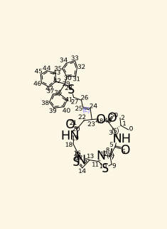 CC(C)[C@@H]1NC(=O)[C@]2(C)CSC(=N2)c2csc(n2)CNC(=O)CC(/C=C/CCSC(c2ccccc2)(c2ccccc2)c2ccccc2)OC1=O